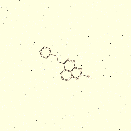 Nc1nc(N)c2c(C(=O)CCc3ccccc3)cccc2n1